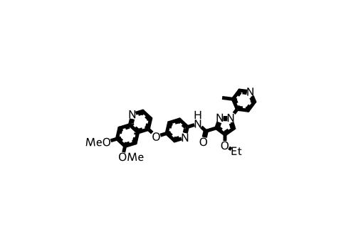 CCOc1cn(-c2ccncc2C)nc1C(=O)Nc1ccc(Oc2ccnc3cc(OC)c(OC)cc23)cn1